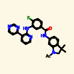 CC(=O)N1CC(C)(C)c2ccc(NC(=O)c3ccc(F)c(Nc4ncccc4-c4ccncn4)c3)cc21